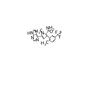 Cc1ccc(C(F)(F)F)cc1-c1cc(-c2ncnc3[nH]ccc23)n(C)c1C(N)=O